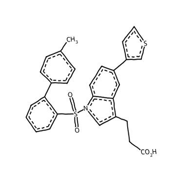 Cc1ccc(-c2ccccc2S(=O)(=O)n2cc(CCC(=O)O)c3cc(-c4ccsc4)ccc32)cc1